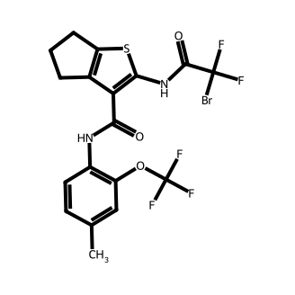 Cc1ccc(NC(=O)c2c(NC(=O)C(F)(F)Br)sc3c2CCC3)c(OC(F)(F)F)c1